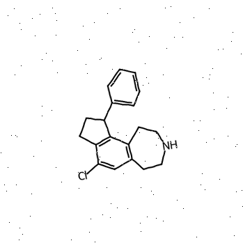 Clc1cc2c(c3c1CCC3c1ccccc1)CCNCC2